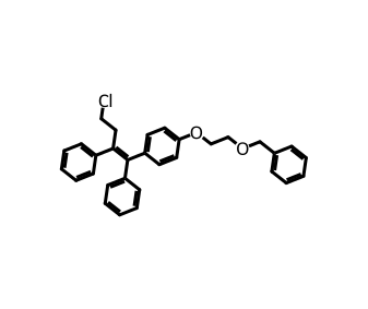 ClCC/C(=C(/c1ccccc1)c1ccc(OCCOCc2ccccc2)cc1)c1ccccc1